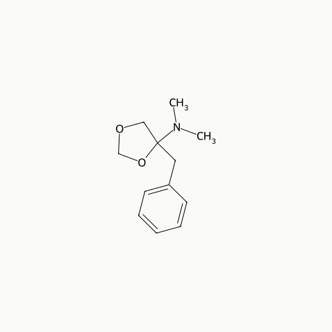 CN(C)C1(Cc2ccccc2)COCO1